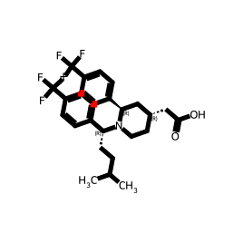 CC(C)CC[C@H](c1ccc(C(F)(F)F)cc1)N1CC[C@@H](CC(=O)O)C[C@@H]1c1ccc(C(F)(F)F)cc1